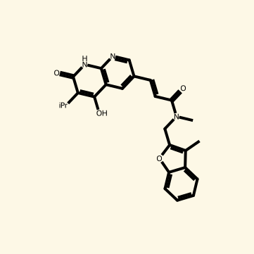 Cc1c(CN(C)C(=O)C=Cc2cnc3[nH]c(=O)c(C(C)C)c(O)c3c2)oc2ccccc12